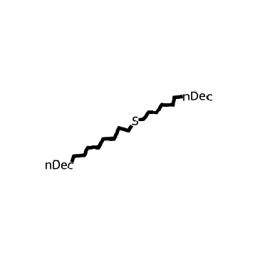 CCCCCCCCCCCCCCCCCCSCCCCCCCCCCCCCCCC